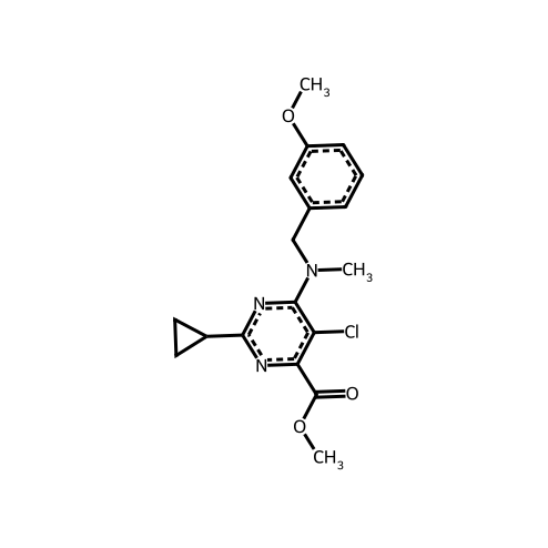 COC(=O)c1nc(C2CC2)nc(N(C)Cc2cccc(OC)c2)c1Cl